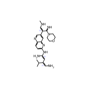 CN/C=C(\C(=N)N1CCOCC1)c1cnc2ccc(N/C(N)=C/C(=C\N)C(C)C)nc2c1